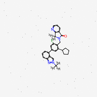 [2H]C1([2H])c2ncccc2C(=O)N1Cc1c(F)cc(-c2cccc3nn(C([2H])([2H])[2H])cc23)cc1C1CCCC1